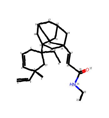 C=CC1(C)C=CCC(CC)(C23CC4CC(CC(C=CC(=O)NCC)(C4)C2)C3)C1